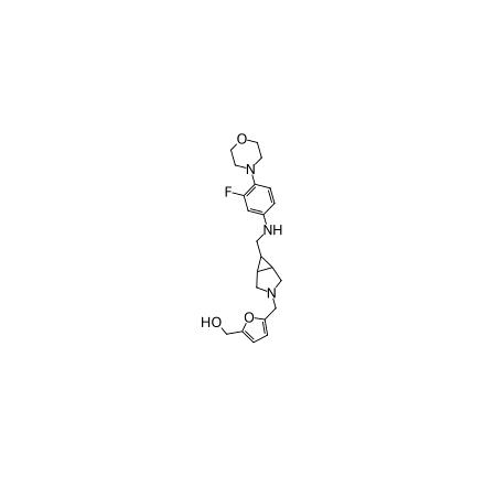 OCc1ccc(CN2CC3C(CNc4ccc(N5CCOCC5)c(F)c4)C3C2)o1